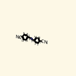 N#Cc1ccc(/C=C/c2ccc(C#N)cc2)cc1